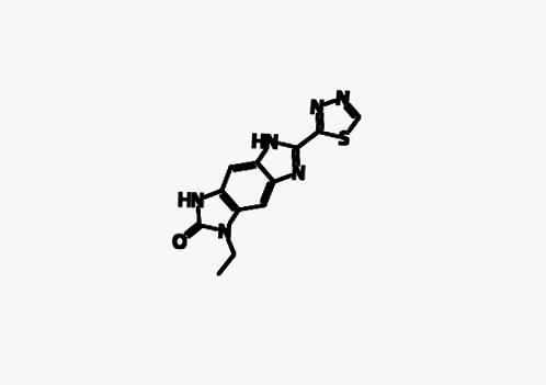 CCn1c(=O)[nH]c2cc3[nH]c(-c4nncs4)nc3cc21